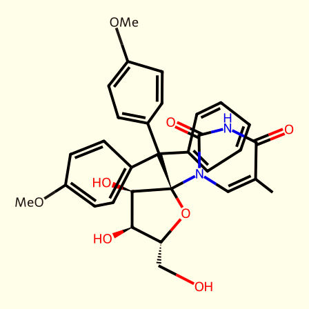 COc1ccc(C(c2ccccc2)(c2ccc(OC)cc2)[C@@]2(n3cc(C)c(=O)[nH]c3=O)O[C@H](CO)[C@@H](O)[C@H]2O)cc1